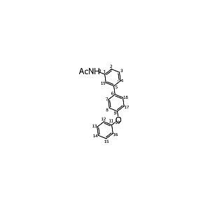 CC(=O)Nc1cc[c]c(-c2ccc(Oc3ccccc3)cc2)c1